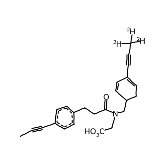 [2H]C([2H])([2H])C#CC1=CCC(CN(CC(=O)O)C(=O)CCc2ccc(C#CC)cc2)C=C1